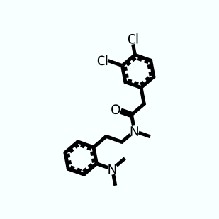 CN(CCc1ccccc1N(C)C)C(=O)Cc1ccc(Cl)c(Cl)c1